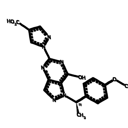 C[C@@H](c1ccc(OC(F)(F)F)cc1)n1ncc2nc(-n3cc(C(=O)O)cn3)nc(O)c21